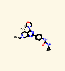 C[C@H]1COCCN1c1nc(-c2ccc(NC(=O)NC3CC3)cc2)nc2c1CCN(CC(C)(C)C)C2